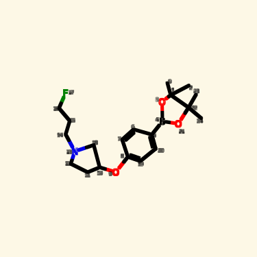 CC1(C)OB(c2ccc(OC3CCN(CCCF)C3)cc2)OC1(C)C